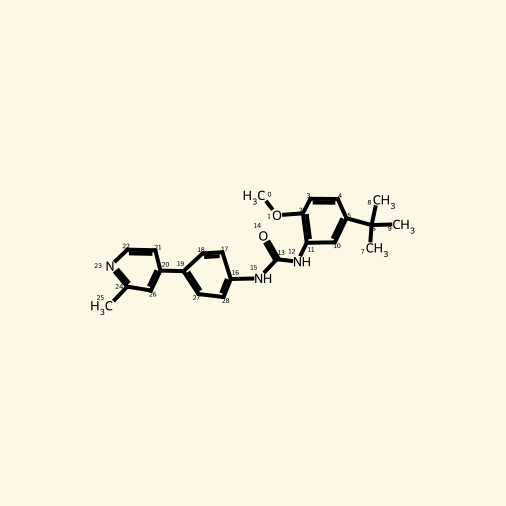 COc1ccc(C(C)(C)C)cc1NC(=O)Nc1ccc(-c2ccnc(C)c2)cc1